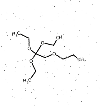 CCOC(COCCN)(OCC)OCC